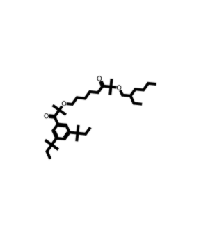 CCCCC(CC)COC(C)(C)C(=O)CCCCCOC(C)(C)C(=O)c1cc(C(C)(C)CC)cc(C(C)(C)CC)c1